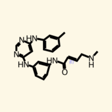 CNC/C=C/C(=O)Nc1cccc(Nc2cc(Nc3cccc(C)c3)ncn2)c1